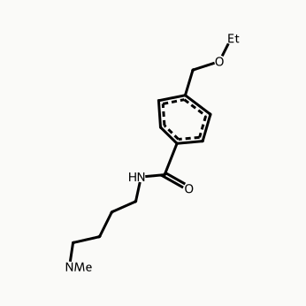 CCOCc1ccc(C(=O)NCCCCNC)cc1